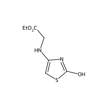 CCOC(=O)CNc1csc(O)n1